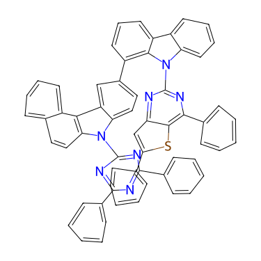 c1ccc(-c2nc(-c3ccccc3)nc(-n3c4ccc(-c5cccc6c7ccccc7n(-c7nc(-c8ccccc8)c8sc(-c9ccccc9)cc8n7)c56)cc4c4c5ccccc5ccc43)n2)cc1